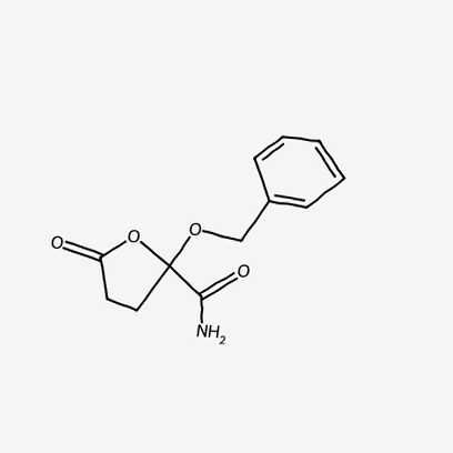 NC(=O)C1(OCc2ccccc2)CCC(=O)O1